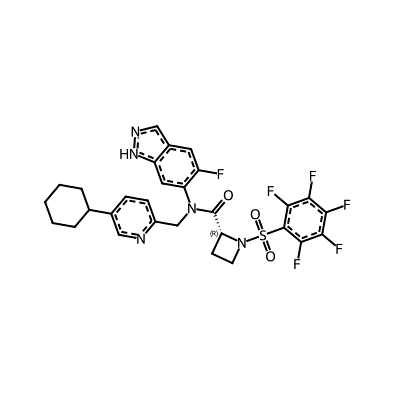 O=C([C@H]1CCN1S(=O)(=O)c1c(F)c(F)c(F)c(F)c1F)N(Cc1ccc(C2CCCCC2)cn1)c1cc2[nH]ncc2cc1F